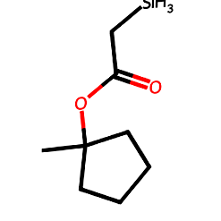 CC1(OC(=O)C[SiH3])CCCC1